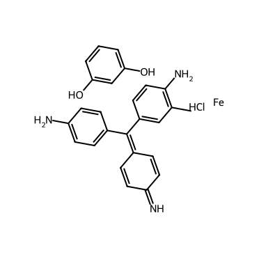 Cc1cc(C(=C2C=CC(=N)C=C2)c2ccc(N)cc2)ccc1N.Cl.Oc1cccc(O)c1.[Fe]